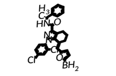 Bc1ccc(/C=C2\CCCc3c(C(=O)N[C@H](C)c4ccccc4)nn(-c4ccc(Cl)cc4Cl)c32)o1